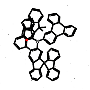 CC1(C)c2ccccc2-c2cccc(N(c3ccc4c5ccccc5c5ccccc5c4c3)c3cc4c(cc3-c3cccc5c3sc3ccccc35)-c3ccccc3C43c4ccccc4-c4ccccc43)c21